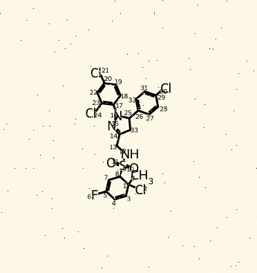 CC1(Cl)C=CC(F)=C[C@H]1S(=O)(=O)NCC1=NN(c2ccc(Cl)cc2Cl)C(c2ccc(Cl)cc2)C1